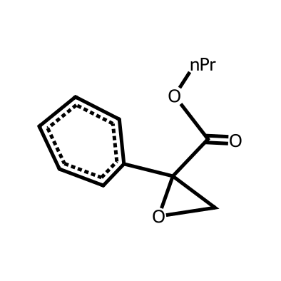 CCCOC(=O)C1(c2ccccc2)CO1